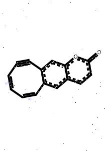 O=c1ccc2cc3c(cc2o1)C#C/C=C\C=C/3